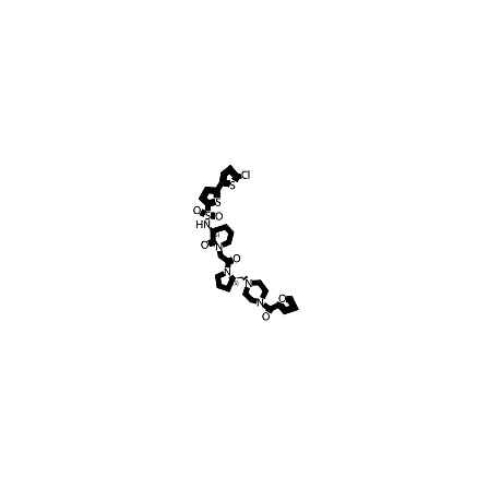 O=C(c1ccco1)N1CCN(C[C@@H]2CCCN2C(=O)CN2CCC[C@H](NS(=O)(=O)c3ccc(-c4ccc(Cl)s4)s3)C2=O)CC1